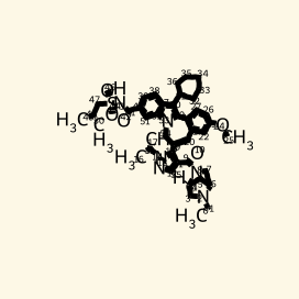 CCN1C[C@@H]2CC1CN2C(=O)c1cnn(C(C)C)c1C1=Cc2cc(OC)ccc2-c2c(C3CCCCC3)c3ccc(C(=O)NS(=O)(=O)CC(C)C)cc3n2C1